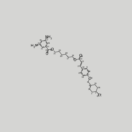 CCC1CCC(COc2ccc(C=CC(=O)OCCCCCCOC(=O)c3cc(N)cc(N)c3)cc2)CC1